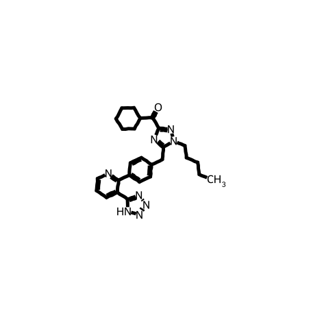 CCCCCn1nc(C(=O)C2CCCCC2)nc1Cc1ccc(-c2ncccc2-c2nnn[nH]2)cc1